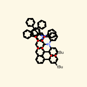 CC(C)(C)c1cc(-c2cccc3cccc(-c4ccccc4N(c4ccccc4-c4ccc5c(c4)C(c4ccccc4)(c4ccccc4)c4ccccc4-5)c4cccc5c6ccccc6n(-c6ccccc6)c45)c23)cc(C(C)(C)C)c1